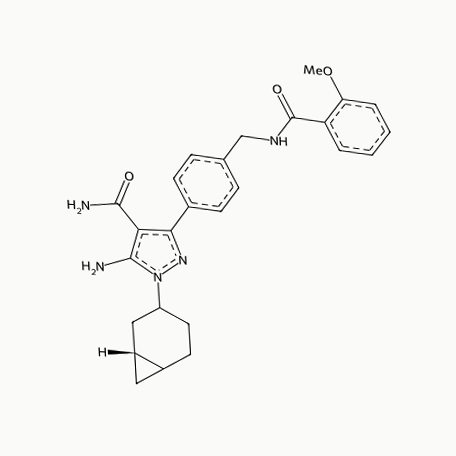 COc1ccccc1C(=O)NCc1ccc(-c2nn(C3CCC4C[C@@H]4C3)c(N)c2C(N)=O)cc1